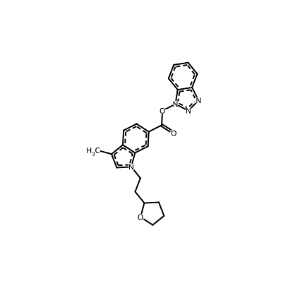 Cc1cn(CCC2CCCO2)c2cc(C(=O)On3nnc4ccccc43)ccc12